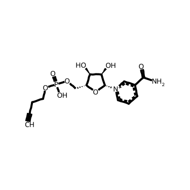 C#CCCOP(=O)(O)OC[C@H]1O[C@@H]([n+]2cccc(C(N)=O)c2)[C@H](O)[C@@H]1O